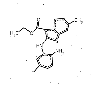 CCOC(=O)c1c(Nc2cc(F)ccc2N)sc2cc(C)ccc12